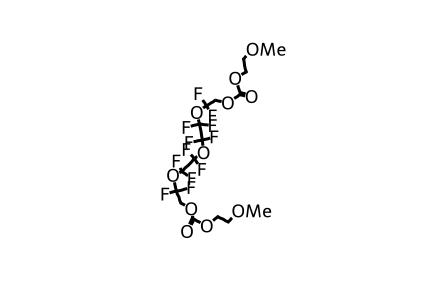 COCCOC(=O)OCC(F)(F)OC(F)(F)C(F)(F)OC(F)(F)C(F)(F)OC(F)(F)COC(=O)OCCOC